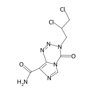 NC(=O)c1ncn2c(=O)n(CC(Cl)CCl)nnc12